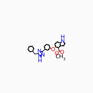 COC(=O)c1c(Oc2cccc(-c3n[nH]c(Cc4ccccc4)n3)c2)ccc2[nH]ccc12